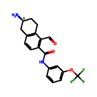 N[C@H]1CCc2c(ccc(C(=O)Nc3cccc(OC(F)(F)F)c3)c2C=O)C1